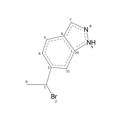 CC(Br)c1ccc2cn[nH]c2c1